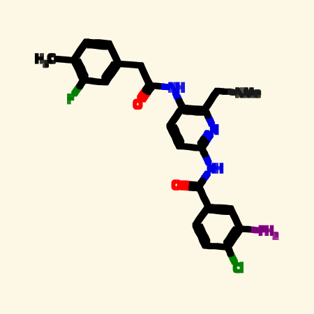 CNCc1nc(NC(=O)c2ccc(Cl)c(P)c2)ccc1NC(=O)Cc1ccc(C)c(F)c1